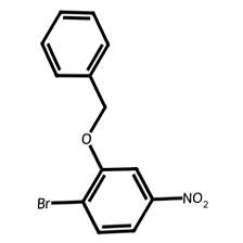 O=[N+]([O-])c1ccc(Br)c(OCc2ccccc2)c1